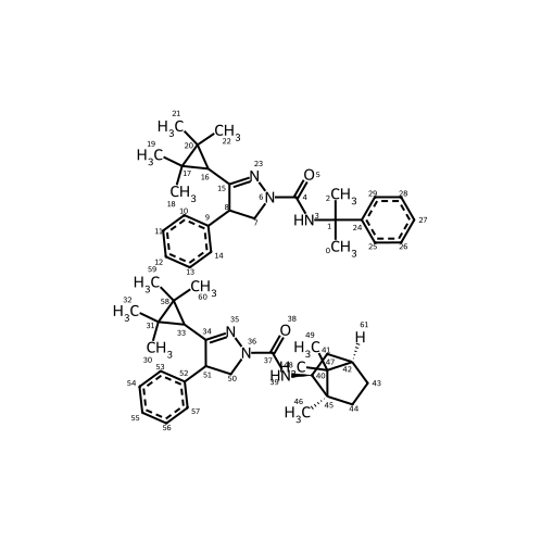 CC(C)(NC(=O)N1CC(c2ccccc2)C(C2C(C)(C)C2(C)C)=N1)c1ccccc1.CC1(C)C(C2=NN(C(=O)N[C@H]3C[C@H]4CC[C@]3(C)C4(C)C)CC2c2ccccc2)C1(C)C